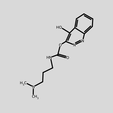 CN(C)CCCNC(=O)Oc1nnc2ccccc2c1O